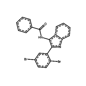 O=C(Nc1c(-c2cc(Br)ccc2Br)nc2ccccn12)c1ccccc1